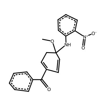 COC1(Nc2ccccc2[N+](=O)[O-])C=CC(C(=O)c2ccccc2)=CC1